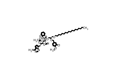 CCCCCCCCCCCCCCCCCCOC[C@H](COP(=O)(OC[C@@H](OC#N)[C@H](Cc1ccc2c(N)ncnn12)OC(C)(C)O)Oc1ccccc1Cl)OCc1ccc(OC)c(Cl)c1